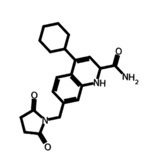 NC(=O)C1C=C(C2CCCCC2)c2ccc(CN3C(=O)CCC3=O)cc2N1